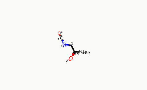 CNC(=O)CN=C=O